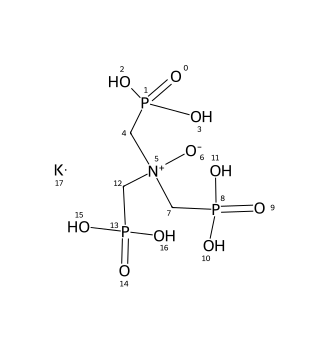 O=P(O)(O)C[N+]([O-])(CP(=O)(O)O)CP(=O)(O)O.[K]